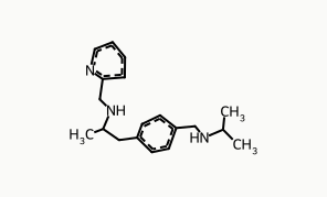 CC(C)NCc1ccc(CC(C)NCc2ccccn2)cc1